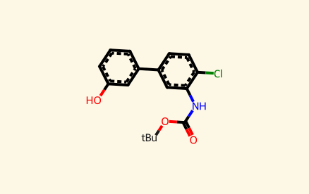 CC(C)(C)OC(=O)Nc1cc(-c2cccc(O)c2)ccc1Cl